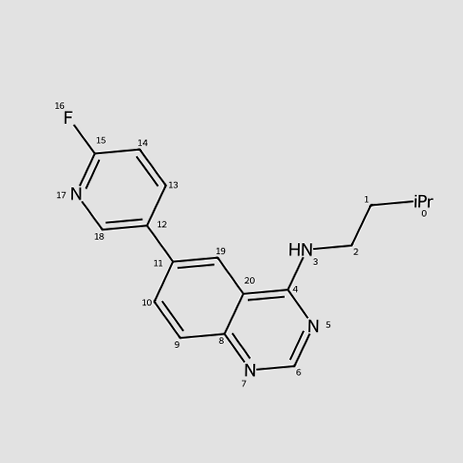 CC(C)CCNc1ncnc2ccc(-c3ccc(F)nc3)cc12